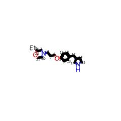 CCC1CN(CCCOc2ccc(CC3CCNC3)cc2)CCO1